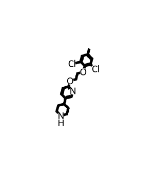 Cc1cc(Cl)c(OCCOc2ccc(C3CCNCC3)cn2)c(Cl)c1